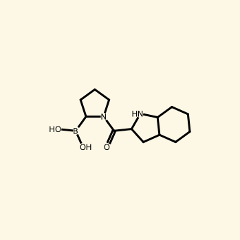 O=C(C1CC2CCCCC2N1)N1CCCC1B(O)O